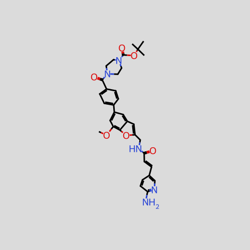 COc1cc(-c2ccc(C(=O)N3CCN(C(=O)OC(C)(C)C)CC3)cc2)cc2cc(CNC(=O)/C=C/c3ccc(N)nc3)oc12